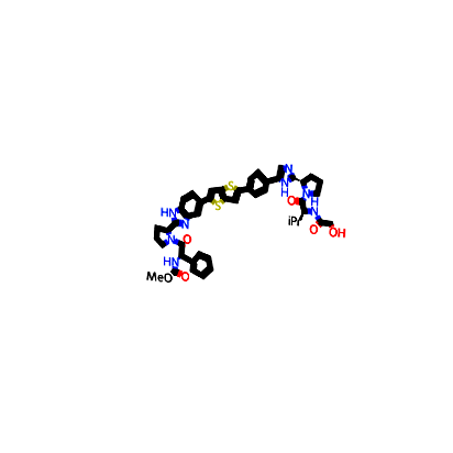 COC(=O)N[C@@H](C(=O)N1CCCC1c1nc2cc(-c3cc4sc(-c5ccc(-c6cnc([C@@H]7CCCN7C(=O)[C@@H](NC(=O)CO)C(C)C)[nH]6)cc5)cc4s3)ccc2[nH]1)c1ccccc1